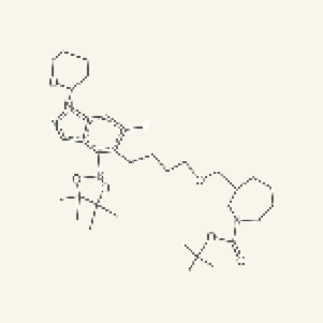 CC(C)(C)OC(=O)N1CCCCC(COCCCCc2c(F)cc3c(cnn3C3CCCCO3)c2B2OC(C)(C)C(C)(C)O2)C1